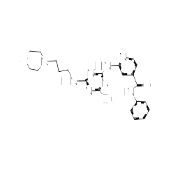 CCc1nc(NCCCN2CCOCC2)nc(Nc2cc(C(=O)Nc3ccccc3)ccn2)n1